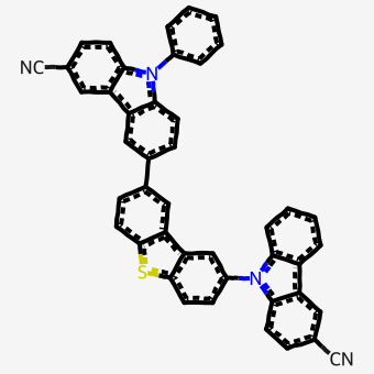 N#Cc1ccc2c(c1)c1ccccc1n2-c1ccc2sc3ccc(-c4ccc5c(c4)c4cc(C#N)ccc4n5-c4ccccc4)cc3c2c1